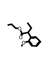 CCCOC(=O)C(CC)c1ccccc1OC